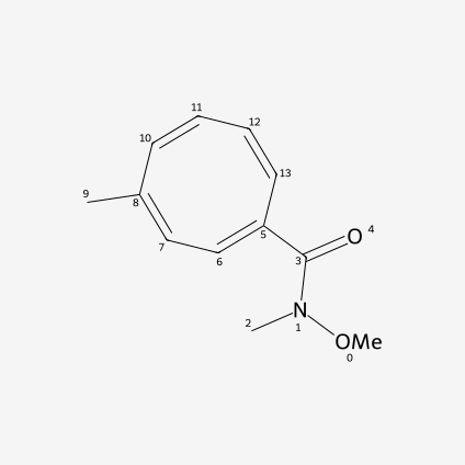 CON(C)C(=O)C1=C/C=C(C)\C=C/C=C\1